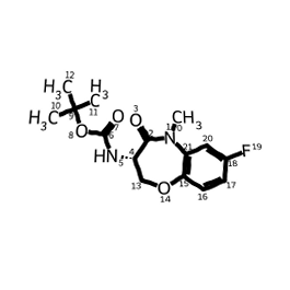 CN1C(=O)[C@@H](NC(=O)OC(C)(C)C)COc2ccc(F)cc21